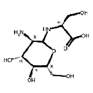 N[C@H]1C(N[C@@H](CO)C(=O)O)O[C@H](CO)[C@@H](O)[C@@H]1O